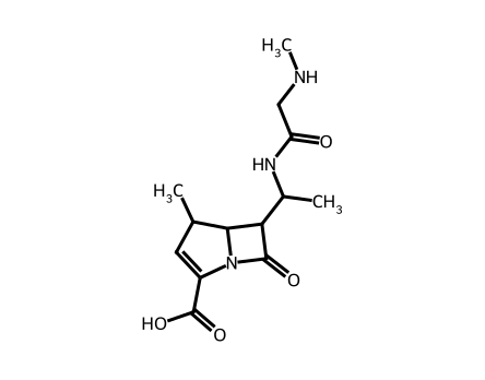 CNCC(=O)NC(C)C1C(=O)N2C(C(=O)O)=CC(C)C12